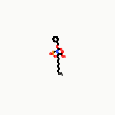 CCCCCCCCC(C(=O)O)N(C[PH](=O)O)C(=O)OCc1ccccc1